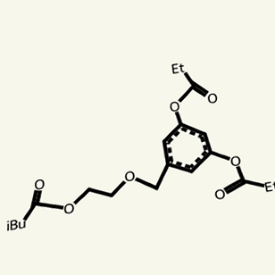 CCC(=O)Oc1cc(COCCOC(=O)C(C)CC)cc(OC(=O)CC)c1